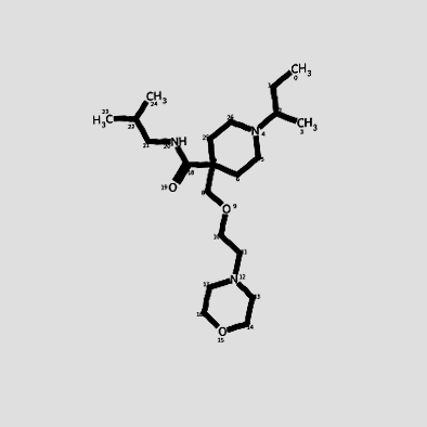 CCC(C)N1CCC(COCCN2CCOCC2)(C(=O)NCC(C)C)CC1